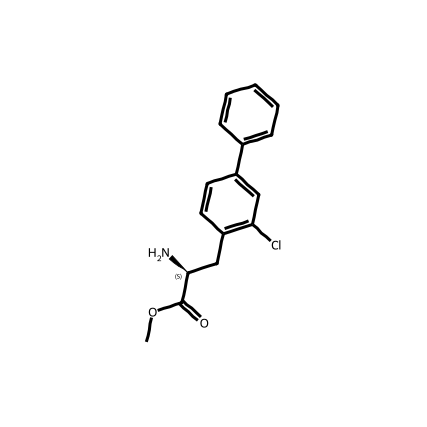 COC(=O)[C@@H](N)Cc1ccc(-c2ccccc2)cc1Cl